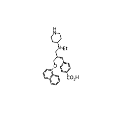 CCN(CC(=Cc1ccc(C(=O)O)cc1)COc1cccc2ccccc12)C1CCNCC1